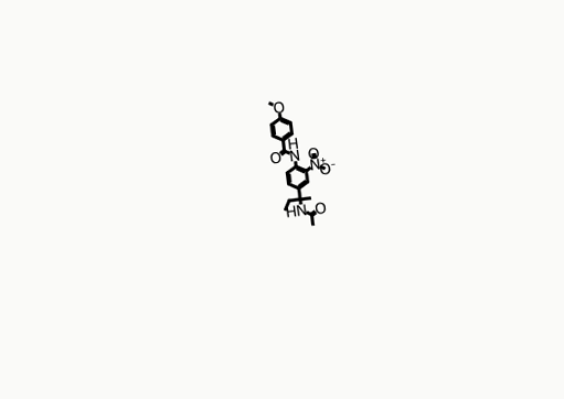 CCC(C)(NC(C)=O)c1ccc(NC(=O)c2ccc(OC)cc2)c([N+](=O)[O-])c1